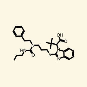 CCCNC(=O)N(CCCSc1nc2ccccc2n1C(C(=O)O)C(C)(C)C)CCc1ccccc1